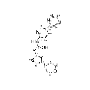 OC(Cc1cc(C2=CCOCC2)cs1)Nc1ccc(-c2cnccn2)cn1